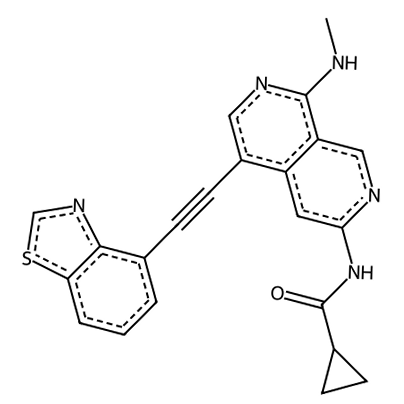 CNc1ncc(C#Cc2cccc3scnc23)c2cc(NC(=O)C3CC3)ncc12